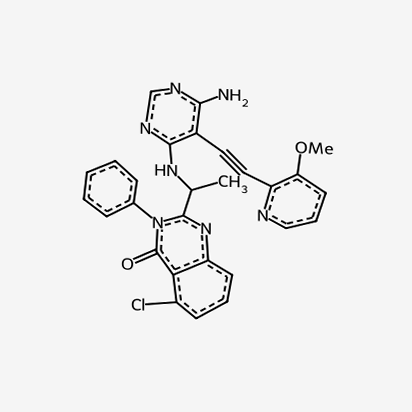 COc1cccnc1C#Cc1c(N)ncnc1NC(C)c1nc2cccc(Cl)c2c(=O)n1-c1ccccc1